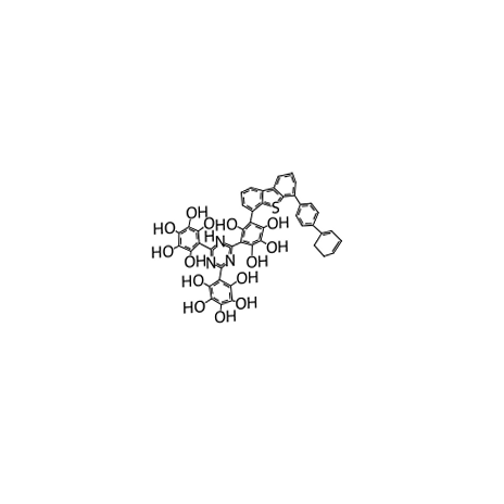 Oc1c(O)c(O)c(-c2nc(-c3c(O)c(O)c(O)c(O)c3O)nc(-c3c(O)c(O)c(O)c(-c4cccc5c4sc4c(-c6ccc(C7=CC=CCC7)cc6)cccc45)c3O)n2)c(O)c1O